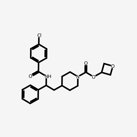 O=C(NC(CC1CCN(C(=O)OC2COC2)CC1)c1ccccc1)c1ccc(Cl)cc1